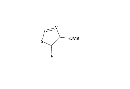 COC1N=CSC1F